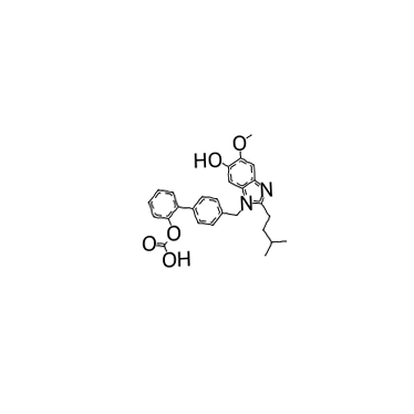 COc1cc2nc(CCC(C)C)n(Cc3ccc(-c4ccccc4OC(=O)O)cc3)c2cc1O